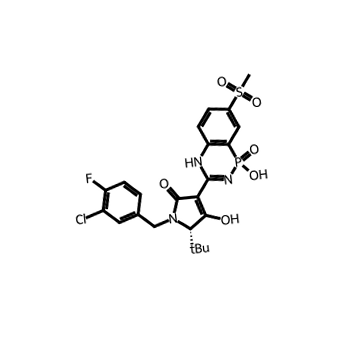 CC(C)(C)[C@H]1C(O)=C(C2=NP(=O)(O)c3cc(S(C)(=O)=O)ccc3N2)C(=O)N1Cc1ccc(F)c(Cl)c1